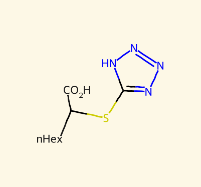 CCCCCCC(Sc1nnn[nH]1)C(=O)O